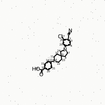 N#Cc1ccc(N2CCC3(CCN(c4ccc(C(=O)O)cc4)CC3)C2)cc1Cl